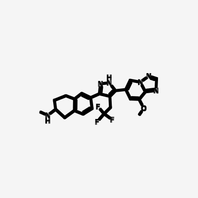 CNC1CCc2cc(-c3n[nH]c(-c4cc(OC)c5ncnn5c4)c3CC(F)(F)F)ccc2C1